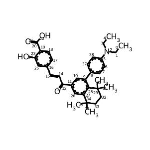 CCN(CC)c1ccc(-c2cc(C(=O)C=Cc3ccc(C(=O)O)c(O)c3)cc3c2C(C)(C)CCC3(C)C)cc1